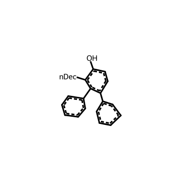 CCCCCCCCCCc1c(O)ccc(-c2ccccc2)c1-c1ccccc1